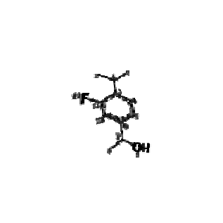 CC(C)c1ccc(C(C)O)cc1F